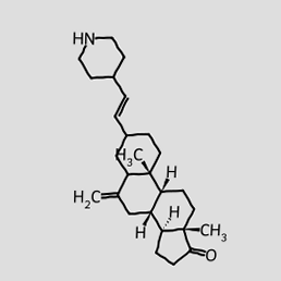 C=C1C[C@@H]2[C@@H](CC[C@]3(C)C(=O)CC[C@@H]23)[C@@]2(C)CCC(C=CC3CCNCC3)CC12